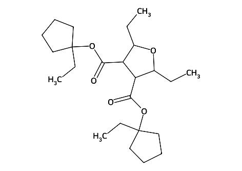 CCC1OC(CC)C(C(=O)OC2(CC)CCCC2)C1C(=O)OC1(CC)CCCC1